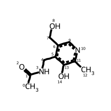 CC(=O)NCc1c(CO)cnc(C)c1O